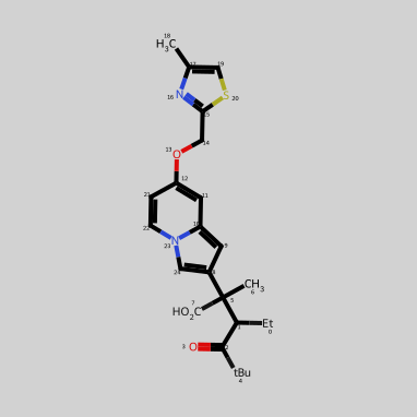 CCC(C(=O)C(C)(C)C)C(C)(C(=O)O)c1cc2cc(OCc3nc(C)cs3)ccn2c1